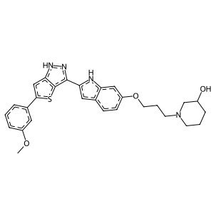 COc1cccc(-c2cc3[nH]nc(-c4cc5ccc(OCCCN6CCCC(O)C6)cc5[nH]4)c3s2)c1